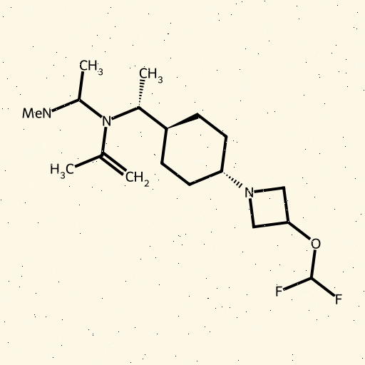 C=C(C)N(C(C)NC)[C@H](C)[C@H]1CC[C@H](N2CC(OC(F)F)C2)CC1